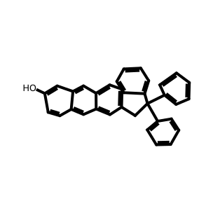 Oc1ccc2cc3cc(CC(c4ccccc4)(c4ccccc4)c4ccccc4)ccc3cc2c1